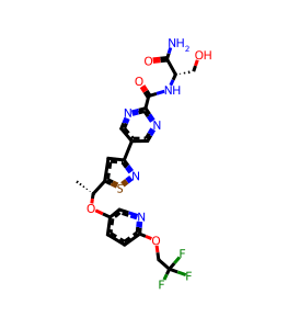 C[C@@H](Oc1ccc(OCC(F)(F)F)nc1)c1cc(-c2cnc(C(=O)N[C@@H](CO)C(N)=O)nc2)ns1